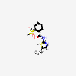 CS(=O)(=O)c1ccccc1C(=O)Nc1ncc([N+](=O)[O-])s1